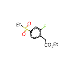 CCOC(=O)Cc1ccc(S(=O)(=O)CC)cc1F